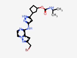 CC(C)NC(=O)OC1CCC(c2cc(Nc3nccn4nc(CBr)cc34)n[nH]2)C1